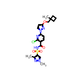 Cc1nn(C)cc1S(=O)(=O)NC(=O)c1ccc(-n2ccc(OCC3(C)CCC3)n2)nc1Cl